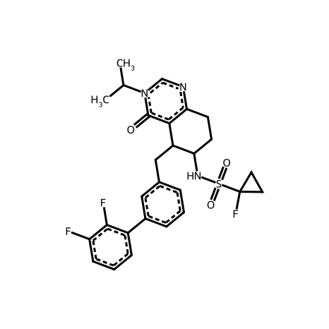 CC(C)n1cnc2c(c1=O)C(Cc1cccc(-c3cccc(F)c3F)c1)C(NS(=O)(=O)C1(F)CC1)CC2